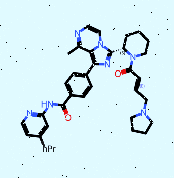 CCCc1ccnc(NC(=O)c2ccc(-c3nc([C@@H]4CCCCN4C(=O)/C=C/CN4CCCC4)n4ccnc(C)c34)cc2)c1